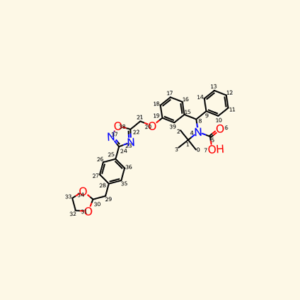 CC(C)(C)N(C(=O)O)C(c1ccccc1)c1cccc(OCc2nc(-c3ccc(CC4OCCO4)cc3)no2)c1